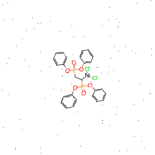 O=P(C[CH]([Ni]([Cl])[Cl])P(=O)(Oc1ccccc1)Oc1ccccc1)(Oc1ccccc1)Oc1ccccc1